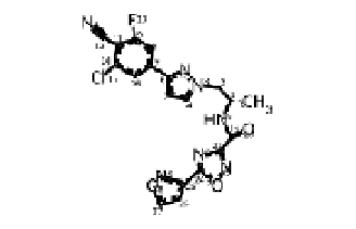 C[C@@H](Cn1ccc(-c2cc(F)c(C#N)c(Cl)c2)n1)NC(=O)c1noc(-c2ccon2)n1